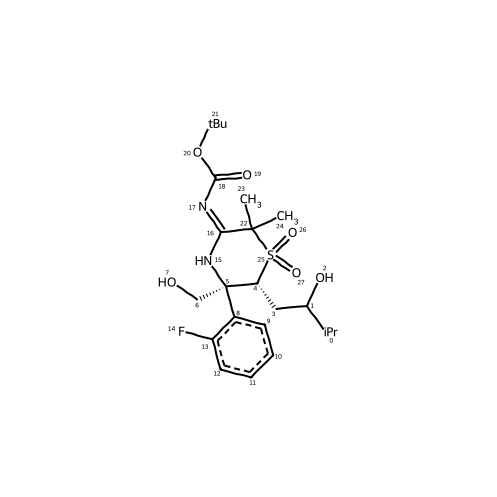 CC(C)C(O)C[C@@H]1[C@@](CO)(c2ccccc2F)N/C(=N/C(=O)OC(C)(C)C)C(C)(C)S1(=O)=O